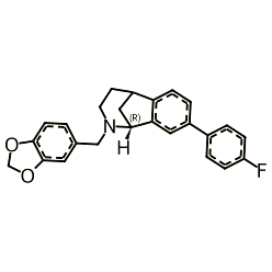 Fc1ccc(-c2ccc3c(c2)[C@H]2CC3CCN2Cc2ccc3c(c2)OCO3)cc1